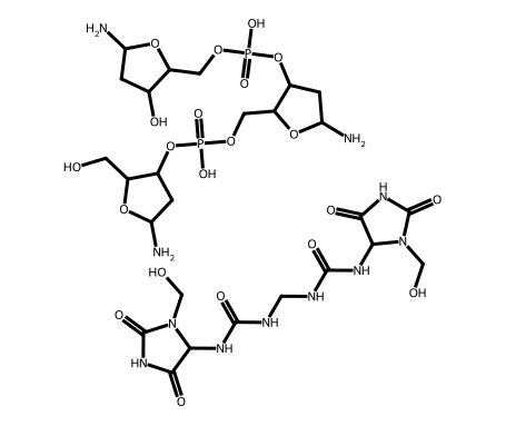 NC1CC(O)C(COP(=O)(O)OC2CC(N)OC2COP(=O)(O)OC2CC(N)OC2CO)O1.O=C(NCNC(=O)NC1C(=O)NC(=O)N1CO)NC1C(=O)NC(=O)N1CO